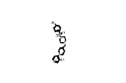 O=S(=O)(c1ccc(Br)cc1)N1CCN(CC2CCN(c3ccncc3Cl)CC2)CC1